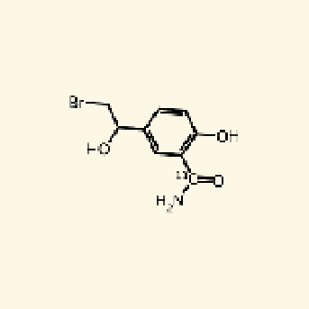 N[13C](=O)c1cc(C(O)CBr)ccc1O